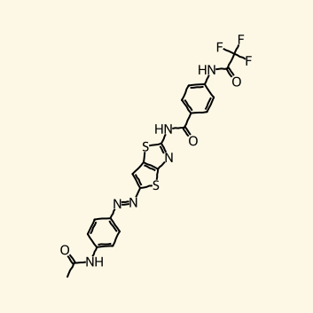 CC(=O)Nc1ccc(N=Nc2cc3sc(NC(=O)c4ccc(NC(=O)C(F)(F)F)cc4)nc3s2)cc1